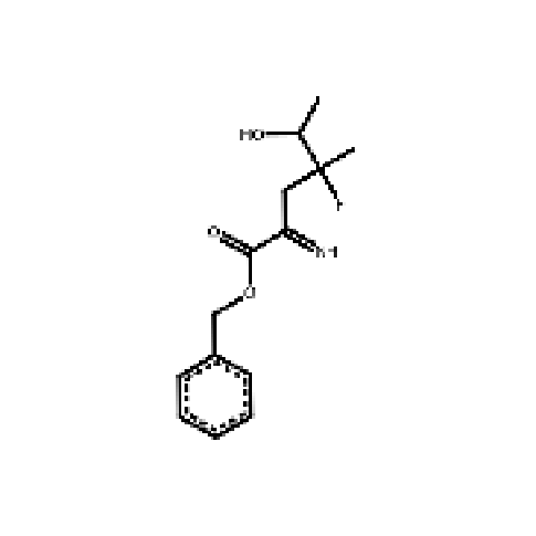 CC(O)C(C)(F)CC(=N)C(=O)OCc1ccccc1